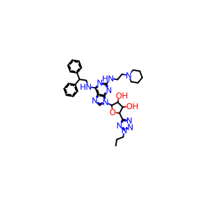 CCCn1nnc(C2OC(n3cnc4c(NCC(c5ccccc5)c5ccccc5)nc(NCCN5CCCCC5)nc43)C(O)C2O)n1